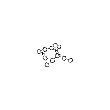 c1ccc(-c2ccc(-c3cc(-c4ccc(-c5ccccc5)cc4)nc(-n4c5cccc6ccc7cc(-c8ccc9c%10ccccc%10n(-c%10ccccc%10)c9c8)cc4c7c65)c3)cc2)cc1